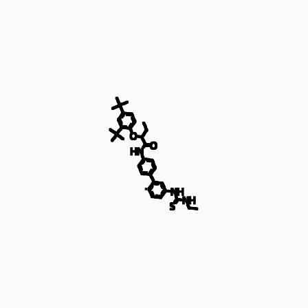 CCNC(=S)Nc1cc[c]c(-c2ccc(NC(=O)C(CC)Oc3ccc(C(C)(C)C)cc3C(C)(C)C)cc2)c1